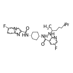 CC(C)CCCC(C)Nc1ncc(F)cc1C(=O)N[C@H]1CC[C@@H](NC(=O)c2cn3cc(F)ccc3n2)CC1